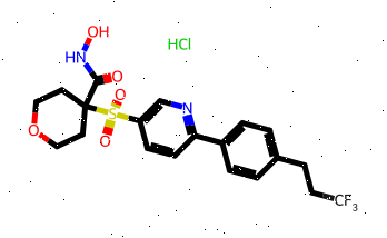 Cl.O=C(NO)C1(S(=O)(=O)c2ccc(-c3ccc(CCC(F)(F)F)cc3)nc2)CCOCC1